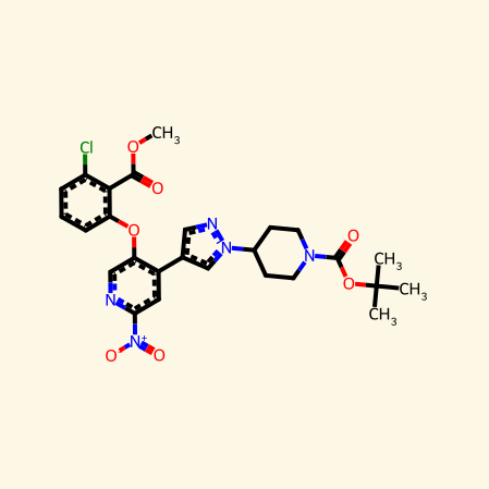 COC(=O)c1c(Cl)cccc1Oc1cnc([N+](=O)[O-])cc1-c1cnn(C2CCN(C(=O)OC(C)(C)C)CC2)c1